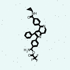 NC(OC(=O)C(F)(F)F)c1ccc(-c2nc3ccnc(-c4ccc(C(=O)NC5CC5)cc4)c3cc2-c2ccccc2)cc1